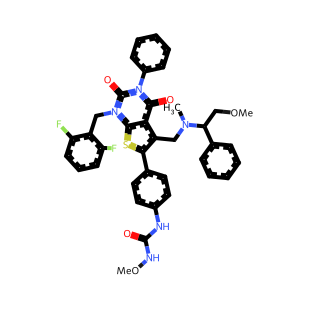 COCC(c1ccccc1)N(C)Cc1c(-c2ccc(NC(=O)NOC)cc2)sc2c1c(=O)n(-c1ccccc1)c(=O)n2Cc1c(F)cccc1F